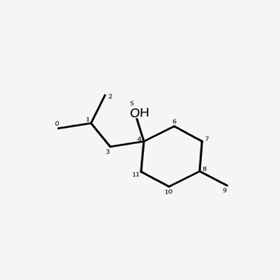 CC(C)CC1(O)CCC(C)CC1